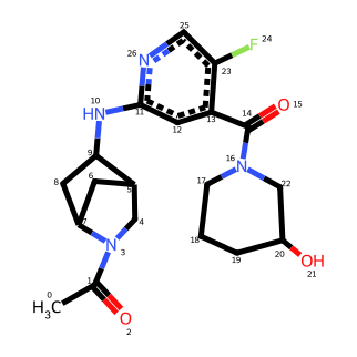 CC(=O)N1CC2CC1CC2Nc1cc(C(=O)N2CCCC(O)C2)c(F)cn1